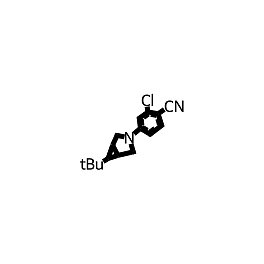 CC(C)(C)C1C2CN(c3ccc(C#N)c(Cl)c3)CC21